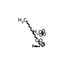 CCCCCCCCCCCCOC(=O)C[N+]1(CC#CI)CCCC1.CS(=O)(=O)[O-]